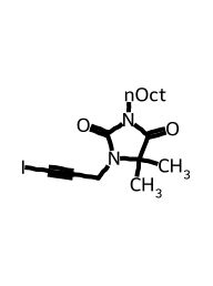 CCCCCCCCN1C(=O)N(CC#CI)C(C)(C)C1=O